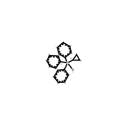 BrP(c1ccccc1)(c1ccccc1)(c1ccccc1)C1CC1